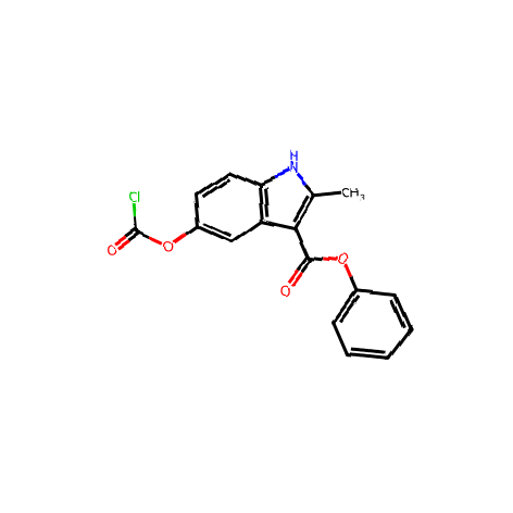 Cc1[nH]c2ccc(OC(=O)Cl)cc2c1C(=O)Oc1ccccc1